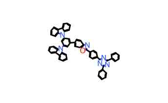 c1ccc(-c2nc(-c3ccccc3)nc(-c3ccc(-c4nc5ccc(-c6cc(-n7c8ccccc8c8ccccc87)cc(-n7c8ccccc8c8ccccc87)c6)cc5o4)cc3)n2)cc1